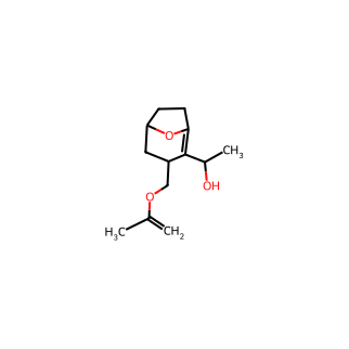 C=C(C)OCC1CC2CCC(=C1C(C)O)O2